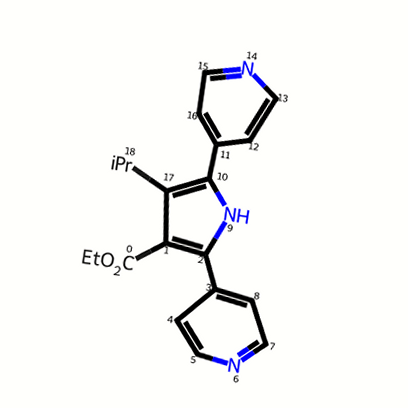 CCOC(=O)c1c(-c2ccncc2)[nH]c(-c2ccncc2)c1C(C)C